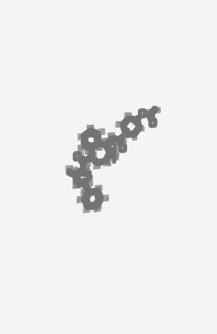 CC(=O)OC1CCN(C(=O)C=C2c3ccccc3N(C(=O)c3sc(-c4ccccc4)nc3C)CCC2(F)F)CC1